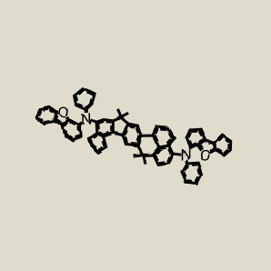 CC1(C)c2cc3c(cc2-c2c1cc(N(c1ccccc1)c1cccc4c1oc1ccccc14)c1ccccc21)C(C)(C)c1ccc(N(c2ccccc2)c2cccc4c2oc2ccccc24)c2cccc-3c12